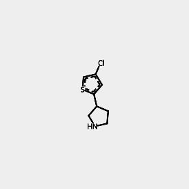 Clc1csc(C2CCNC2)c1